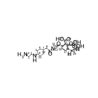 [NH3+]CCN[C@H]1CC[C@@H](CC(=O)N2CC(Oc3ccc4c(c3C(=O)O)O[B-](O)(O)[C@@H]3C[C@H]43)C2)CC1